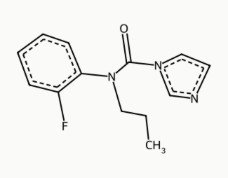 CCCN(C(=O)n1ccnc1)c1ccccc1F